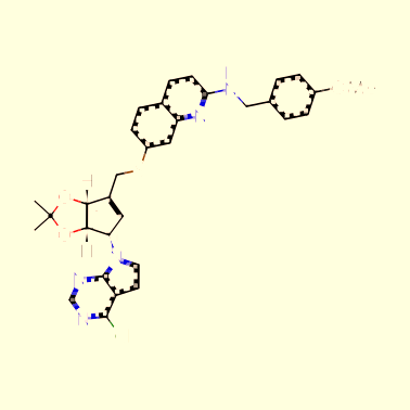 COc1ccc(CNc2ccc3ccc(SCC4=C[C@@H](n5ccc6c(Cl)ncnc65)[C@@H]5OC(C)(C)O[C@H]45)cc3n2)cc1